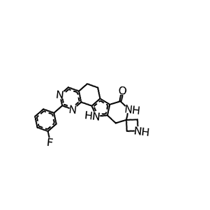 O=C1NC2(CNC2)Cc2[nH]c3c(c21)CCc1cnc(-c2cccc(F)c2)nc1-3